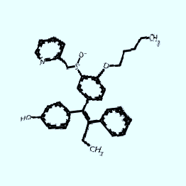 CCCCCOc1ccc(C(=C(CC)c2ccccc2)c2ccc(O)cc2)cc1[S+]([O-])Cc1ccccn1